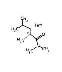 CC(C)C[C@@H](N)C(=O)N(C)C.Cl